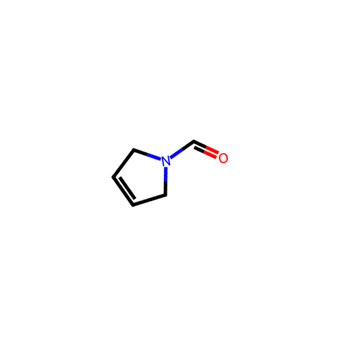 O=CN1CC=CC1